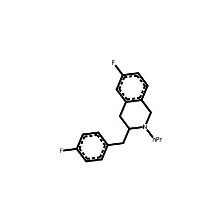 CCCN1Cc2ccc(F)cc2CC1Cc1ccc(F)cc1